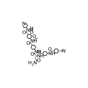 CC(C)Oc1c(NC(=O)c2ccc(NC(=O)C(CC(N)=O)NC(=O)c3ccc(NC(=O)c4ccc(C#N)cc4)cc3)cc2)ccc(C(=O)Nc2ccncc2)c1O